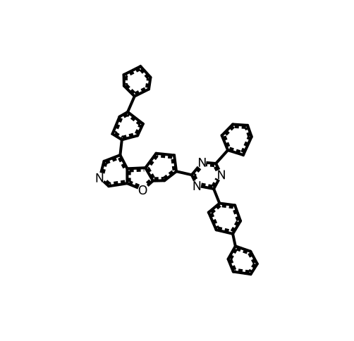 c1ccc(-c2ccc(-c3nc(-c4ccccc4)nc(-c4ccc5c(c4)oc4cncc(-c6ccc(-c7ccccc7)cc6)c45)n3)cc2)cc1